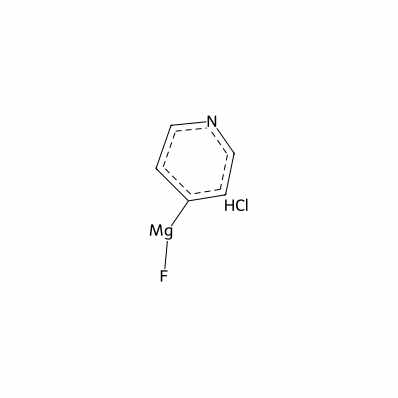 Cl.[F][Mg][c]1ccncc1